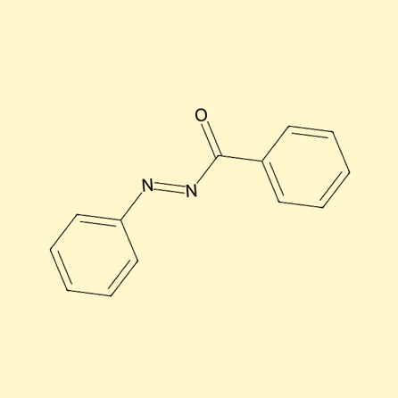 O=C(N=Nc1ccccc1)c1ccccc1